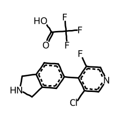 Fc1cncc(Cl)c1-c1ccc2c(c1)CNC2.O=C(O)C(F)(F)F